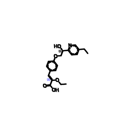 CCO/C(=C\c1ccc(OC[C@@H](O)c2ccc(CC)cn2)cc1)C(=O)O